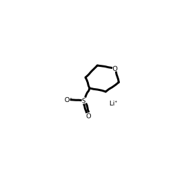 O=S([O-])C1CCOCC1.[Li+]